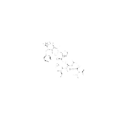 C=C(C)[C@@H](C(=O)N[C@H](C(=O)N(C)[C@@H](/C(C)=C/C)[C@@H](CC(=O)N1CCC[C@H]1[C@H](OC)[C@@H](C)C(=O)NC(Cc1ccccc1)C(=O)O)OC)C(C)C)N(C)C